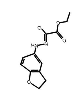 CCOC(=O)/C(Cl)=N/Nc1ccc2c(c1)CCO2